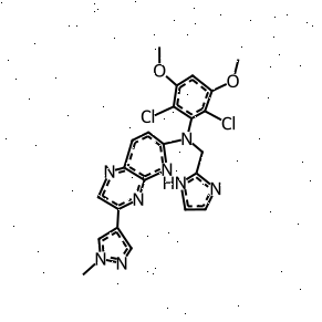 COc1cc(OC)c(Cl)c(N(Cc2ncc[nH]2)c2ccc3ncc(-c4cnn(C)c4)nc3n2)c1Cl